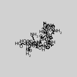 CC(C)C[C@H](NC(=O)[C@@H]1CCCN1C(=O)[C@@H](N)C(C)C)C(=O)N[C@@H](C)C(=O)N[C@@H](C)C(=O)N[C@@H](CCC(=O)O)C(=O)N1CCC[C@H]1C(=O)N[C@H](C(=O)N1CCC[C@H]1C(=O)N[C@@H](CC(C)C)C(=O)N[C@H](C(=O)N[C@@H](CCCCN)C(=O)N[C@@H](CCC(N)=O)C(=O)N[C@@H](CCC(=O)O)C(=O)O)C(C)C)C(C)C